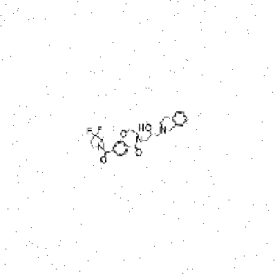 O=C(c1ccc2c(c1)OCCN(CC(O)CN1CCc3ccccc3C1)C2=O)N1CCC(F)(F)C1